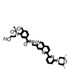 Cc1ccc(C(=O)NCc2cc3nc(-c4cccc(N5C[C@@H](C)O[C@@H](C)C5)n4)ccc3cn2)cc1N(CCO)S(C)(=O)=O